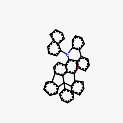 c1ccc(-c2ccccc2N(c2cccc3ccccc23)c2ccc3c4c5c(ccc24)-c2ccccc2C5(c2ccccc2)c2ccccc2-3)cc1